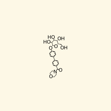 O=C(c1ccc(-c2ccc(O[C@@H]3O[C@H](CO)[C@@H](O)[C@H](O)[C@@H]3O)cc2)cc1)N1CCOCC1